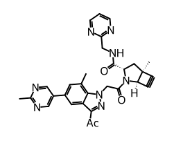 CC(=O)c1nn(CC(=O)N2[C@H](C(=O)NCc3ncccn3)C[C@@]3(C)C#C[C@@H]23)c2c(C)cc(-c3cnc(C)nc3)cc12